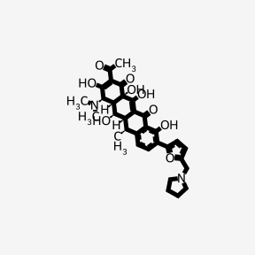 CC(=O)C1=C(O)[C@@H](N(C)C)[C@@H]2[C@@H](O)[C@H]3C(=C(O)[C@]2(O)C1=O)C(=O)c1c(ccc(-c2ccc(CN4CCCC4)o2)c1O)[C@@H]3C